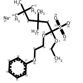 CCOC(CC(C)(C)CC(C)(C)C)(OCCOc1ccccc1)S(=O)(=O)[O-].[Na+]